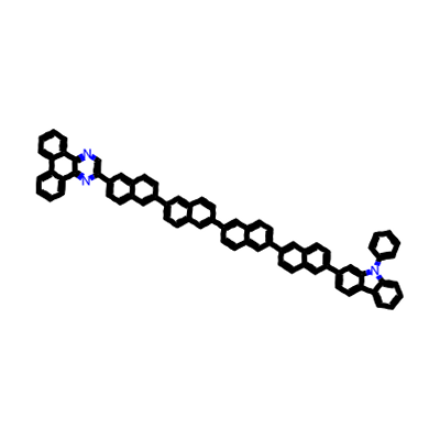 c1ccc(-n2c3ccccc3c3ccc(-c4ccc5cc(-c6ccc7cc(-c8ccc9cc(-c%10ccc%11cc(-c%12cnc%13c%14ccccc%14c%14ccccc%14c%13n%12)ccc%11c%10)ccc9c8)ccc7c6)ccc5c4)cc32)cc1